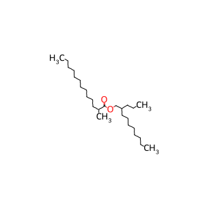 CCCCCCCCCCCC(C)C(=O)OCC(CCC)CCCCCCCC